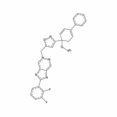 CCCOC1(c2cc(Cn3cc4nc(-c5cccc(F)c5F)nc-4cn3)on2)C=CC(c2ccccc2)=CC1